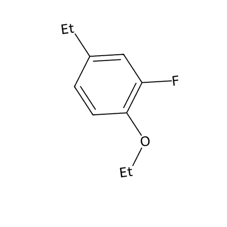 CCOc1ccc(CC)cc1F